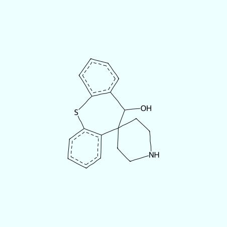 OC1c2ccccc2Sc2ccccc2C12CCNCC2